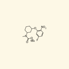 CN(C(=O)OC(C)(C)C)C1CCCC(Oc2cc(F)ccc2[N+](=O)[O-])C1